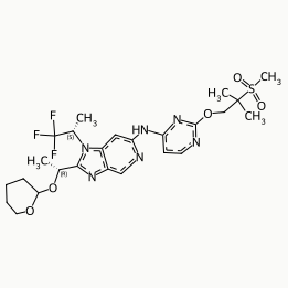 C[C@H](n1c([C@@H](C)OC2CCCCO2)nc2cnc(Nc3ccnc(OCC(C)(C)S(C)(=O)=O)n3)cc21)C(F)(F)F